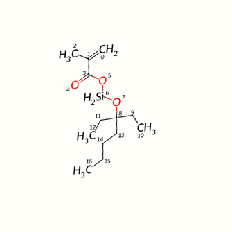 C=C(C)C(=O)O[SiH2]OC(CC)(CC)CCCC